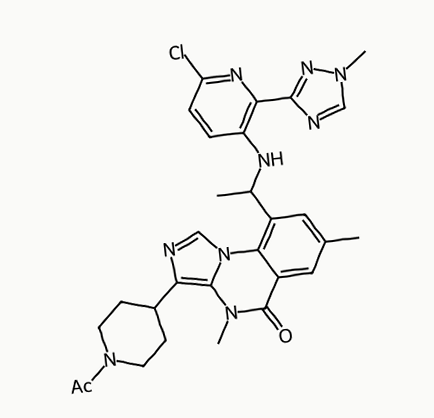 CC(=O)N1CCC(c2ncn3c4c(C(C)Nc5ccc(Cl)nc5-c5ncn(C)n5)cc(C)cc4c(=O)n(C)c23)CC1